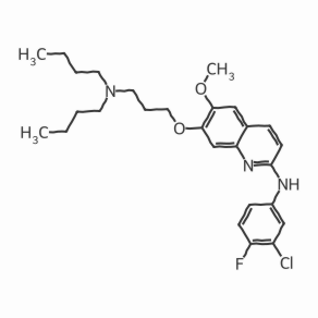 CCCCN(CCCC)CCCOc1cc2nc(Nc3ccc(F)c(Cl)c3)ccc2cc1OC